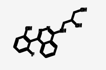 OCC(O)CNc1nnc(-c2c(O)cccc2F)c2ccccc12